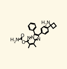 Cc1c(OC(N)=O)nn2c(-c3ccccc3)c(-c3ccc(C4(N)CCC4)cc3)nc2c1C